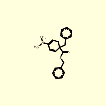 CN(C)C1=CCC(Cc2ccccc2)(C(=S)SCc2ccccc2)C=C1